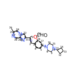 C/C(=C\c1ccc(N2CCN(C3CCC3)CC2)cc1OC=O)c1cn2cc(C)ncc2n1